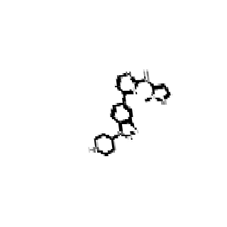 Cn1nccc1Nc1nccc(-c2ccc3c(c2)nnn3C2CCNCC2)n1